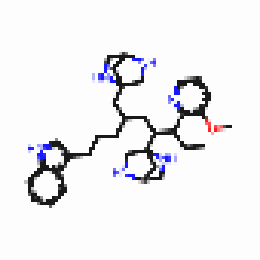 CCC(c1ncccc1OC)C(CC(CCCc1c[nH]c2ccccc12)CC12CNC(CN1)C2)C12CNC(CN1)C2